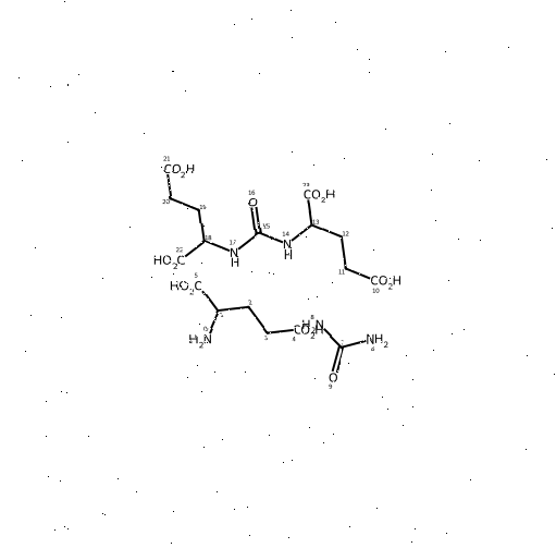 NC(CCC(=O)O)C(=O)O.NC(N)=O.O=C(O)CCC(NC(=O)NC(CCC(=O)O)C(=O)O)C(=O)O